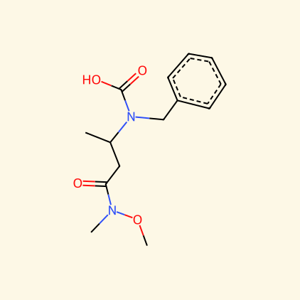 CON(C)C(=O)CC(C)N(Cc1ccccc1)C(=O)O